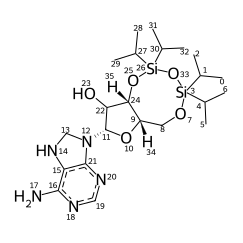 CC(C)[Si]1(C(C)C)OC[C@@H]2O[C@H](N3CNc4c(N)ncnc43)C(O)[C@@H]2O[Si](C(C)C)(C(C)C)O1